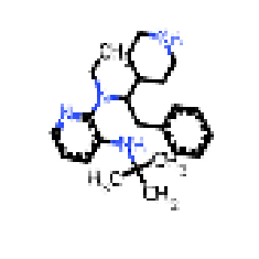 CCN(c1ncccc1NC(C)(C)C)C(Cc1ccccc1)C1CCNCC1